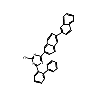 Clc1nc(-c2ccc3cc(-c4ccc5ccccc5c4)ccc3c2)nc(-c2ccccc2-c2ccccc2)n1